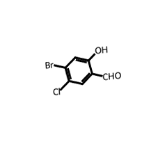 O=Cc1cc(Cl)c(Br)cc1O